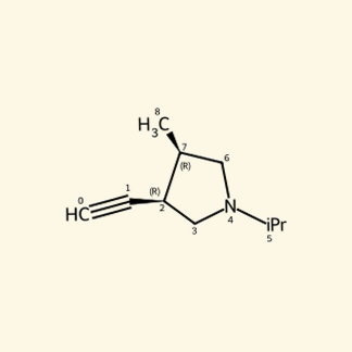 C#C[C@@H]1CN(C(C)C)C[C@@H]1C